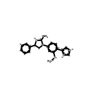 COc1cc(N2CC(c3ccccc3)OC2N)ccc1-c1cnco1